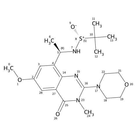 COc1cc([C@@H](C)N[S@+]([O-])C(C)(C)C)c2nc(N3CCOCC3)n(C)c(=O)c2c1